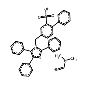 CN(C)C=N.O=S(=O)(O)c1cc(Cn2c(-c3ccccc3)nc(-c3ccccc3)c2-c2ccccc2)ccc1-c1ccccc1